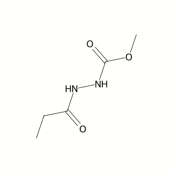 CCC(=O)NNC(=O)OC